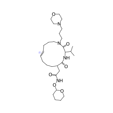 CC(C)C1NC(=O)C(CC(=O)NOC2CCCCO2)CCC/C=C/CCCN(CCCN2CCOCC2)C1=O